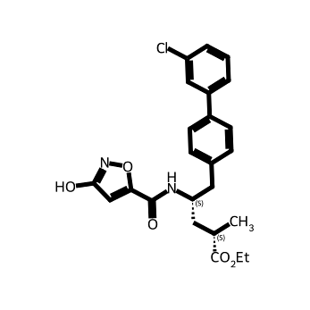 CCOC(=O)[C@@H](C)C[C@@H](Cc1ccc(-c2cccc(Cl)c2)cc1)NC(=O)c1cc(O)no1